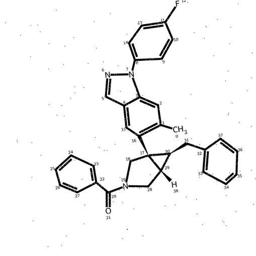 Cc1cc2c(cnn2-c2ccc(F)cc2)cc1[C@]12CN(C(=O)c3ccccc3)C[C@H]1[C@@H]2Cc1ccccc1